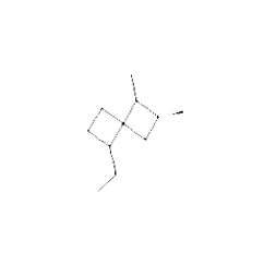 CCC1CCC12C[C@H](C)C2C